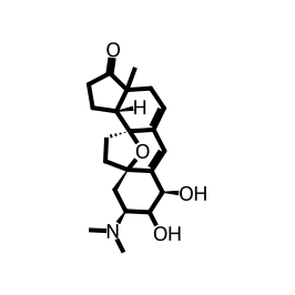 CN(C)[C@H]1C[C@@]23CC[C@@]4(O2)C(=CCC2(C)C(=O)CC[C@H]24)C=C3[C@@H](O)C1O